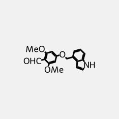 COc1cc(OCc2cccc3[nH]ccc23)cc(OC)c1C=O